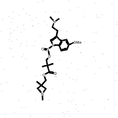 COc1ccc2c(c1)c(CCN(C)C)cn2S(=O)OCC(C)(C)C(=O)OCC1(C)CN(C)C1